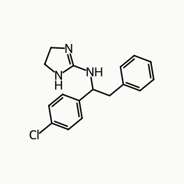 Clc1ccc(C(Cc2ccccc2)NC2=NCCN2)cc1